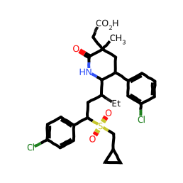 CCC(CC(c1ccc(Cl)cc1)S(=O)(=O)CC1CC1)C1NC(=O)C(C)(CC(=O)O)CC1c1cccc(Cl)c1